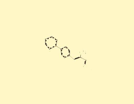 C=C/C(C#N)=C/c1ccc(-c2ccccc2)cc1